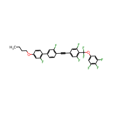 CCCCOc1ccc(-c2ccc(C#Cc3cc(F)c(C(F)(F)Oc4cc(F)c(F)c(F)c4)c(F)c3)c(F)c2)c(F)c1